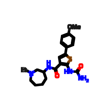 CCN1CCCCC(NC(=O)c2cc(-c3ccc(OC)cc3)sc2NC(N)=O)C1